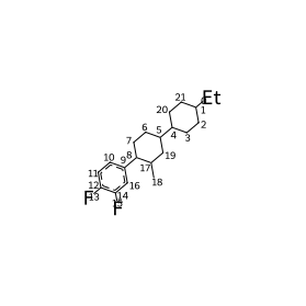 CCC1CCC(C2CCC(c3ccc(F)c(F)c3)C(C)C2)CC1